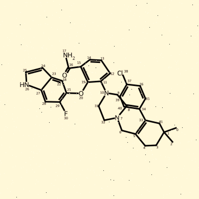 CC1(C)CCC(CN2CCN(c3cccc(C(N)=O)c3Oc3cc4cc[nH]c4cc3F)CC2)=C(c2ccc(Cl)cc2)C1